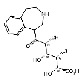 O=C(O)[C@@H](O)[C@@H](O)[C@H](O)[C@@H](O)C(=O)C1CNCCc2ccccc21